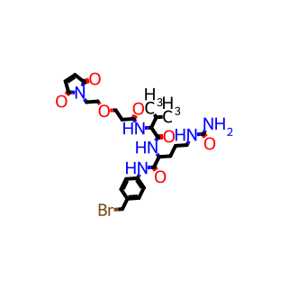 CC(C)C(NC(=O)CCOCCN1C(=O)C=CC1=O)C(=O)NC(CCCNC(N)=O)C(=O)Nc1ccc(CBr)cc1